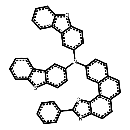 c1ccc(-c2nc3ccc4ccc5ccc(N(c6ccc7oc8ccccc8c7c6)c6ccc7sc8ccccc8c7c6)cc5c4c3o2)cc1